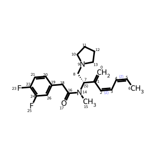 C=C(/C=C\C=C/C)[C@@H](CN1CCCC1)N(C)C(=O)Cc1ccc(F)c(F)c1